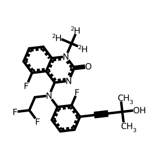 [2H]C([2H])([2H])n1c(=O)nc(N(CC(F)F)c2cccc(C#CC(C)(C)O)c2F)c2c(F)cccc21